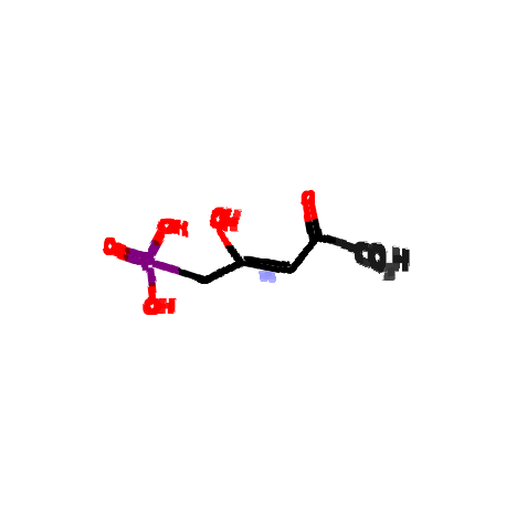 O=C(O)C(=O)/C=C(\O)CP(=O)(O)O